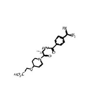 C[C@H](NC(=O)c1ccc(C(=N)N)cc1)C(=O)N1CCC(OCC(=O)O)CC1